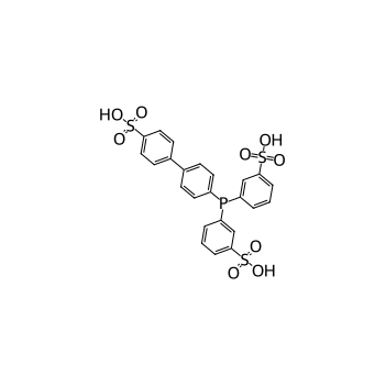 O=S(=O)(O)c1ccc(-c2ccc(P(c3cccc(S(=O)(=O)O)c3)c3cccc(S(=O)(=O)O)c3)cc2)cc1